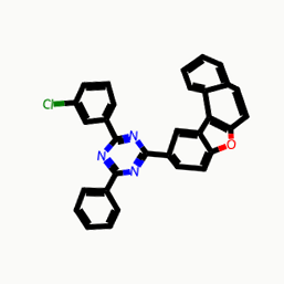 Clc1cccc(-c2nc(-c3ccccc3)nc(-c3ccc4oc5ccc6ccccc6c5c4c3)n2)c1